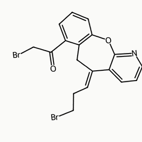 O=C(CBr)c1cccc2c1CC(=CCCBr)c1cccnc1O2